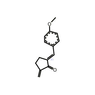 C=C1CC/C(=C\c2ccc(OC)cc2)C1=O